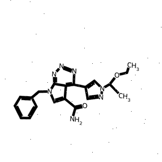 CCOC(C)n1cc(-c2nnnc3c2c(C(N)=O)cn3Cc2ccccc2)cn1